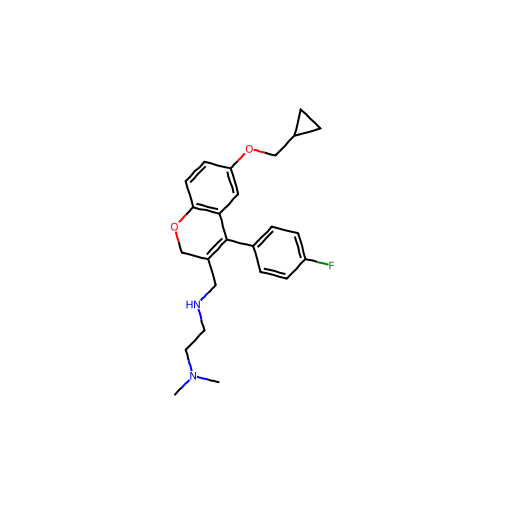 CN(C)CCNCC1=C(c2ccc(F)cc2)c2cc(OCC3CC3)ccc2OC1